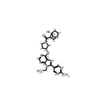 CCn1c(-c2cnc(C)nc2)nc2c(O[C@H]3CCN(C(=O)C4CN5CC[C@H]4C5)C3)ncnc21